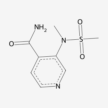 CN(c1cnccc1C(N)=O)S(C)(=O)=O